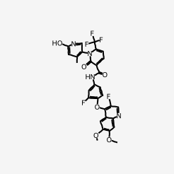 COc1cc2ncc(F)c(Oc3ccc(NC(=O)c4ccc(C(F)(F)F)n(-c5cnc(O)cc5C)c4=O)cc3F)c2cc1OC